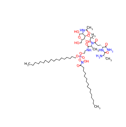 CCCCCCCCCCCCCCCCCCOP(=O)(OCCNC(=O)[C@H](C)N(CC(C)O[C@H]1[C@H](O)[C@@H](CO)O[C@H](O)[C@H]1NC(C)=O)C(=O)CC[C@@H](NC(=O)[C@H](C)N)C(N)=O)ON(O)C(=O)CCCCCCCCCCCCCCC